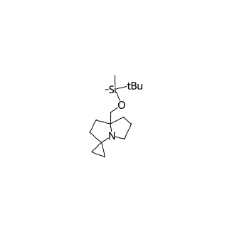 CC(C)(C)[Si](C)(C)OCC12CCCN1C1(CC1)CC2